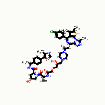 Cc1ncsc1-c1ccc([C@H](C)NC(=O)[C@@H]2C[C@@H](O)CN2C(=O)[C@@H](NC(=O)COC[C@@H](O)CN2CCN(C(=O)C[C@@H]3N=C(c4ccc(Cl)cc4)c4c(sc(C)c4C)-n4c(C)nnc43)CC2)C(C)(C)C)cc1